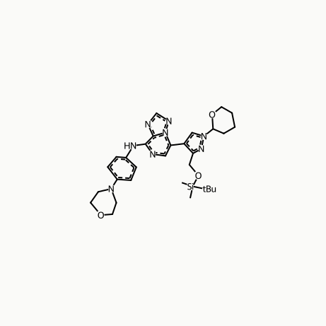 CC(C)(C)[Si](C)(C)OCc1nn(C2CCCCO2)cc1-c1cnc(Nc2ccc(N3CCOCC3)cc2)c2ncnn12